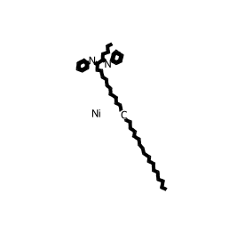 CCCCCCCCCCCCCCCCCCCCCCCCCCCCCCC(=N\c1ccccc1)/C(CCCC)=N/c1ccccc1.[Ni]